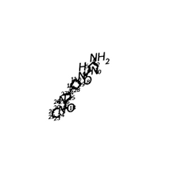 Cn1cc(N)cc1C(=O)Nc1ccc(-c2cc(C(=O)N3CCCCC3)n(C)c2)cc1